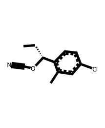 CC[C@@H](OC#N)c1ccc(Cl)cc1C